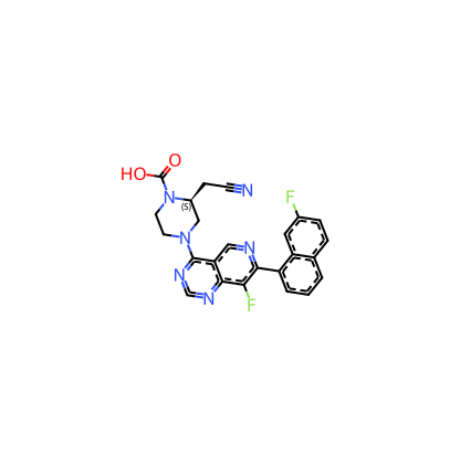 N#CC[C@H]1CN(c2ncnc3c(F)c(-c4cccc5ccc(F)cc45)ncc23)CCN1C(=O)O